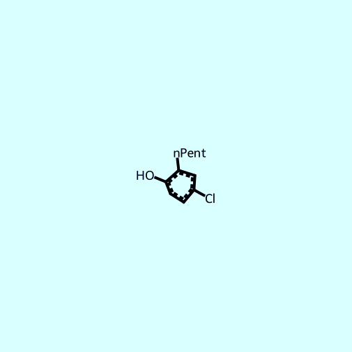 CCCCCc1cc(Cl)ccc1O